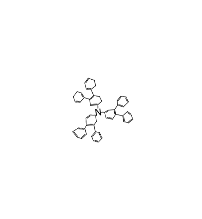 C1=CCCC(C2=C(C3=CCCC=C3)C=C(N(c3ccc(-c4ccccc4)c(-c4ccccc4)c3)C3C=CC(c4ccccc4)=C(c4ccccc4)C3)CC2)=C1